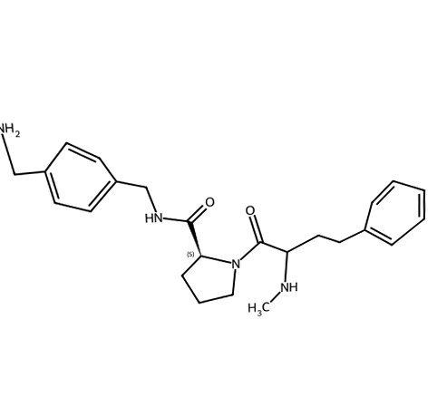 CNC(CCc1ccccc1)C(=O)N1CCC[C@H]1C(=O)NCc1ccc(CN)cc1